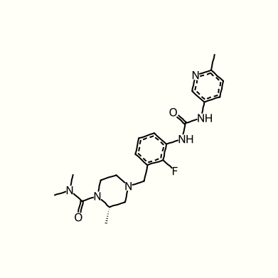 Cc1ccc(NC(=O)Nc2cccc(CN3CCN(C(=O)N(C)C)[C@@H](C)C3)c2F)cn1